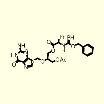 CC(=O)OCC(COC(=O)C(NC(=P)OCc1ccccc1)C(C)C)OCn1cnc2c(=O)[nH]c(N)nc21